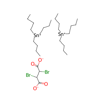 CCC[CH2][Sn+]([CH2]CCC)[CH2]CCC.CCC[CH2][Sn+]([CH2]CCC)[CH2]CCC.O=C([O-])C(Br)C(Br)C(=O)[O-]